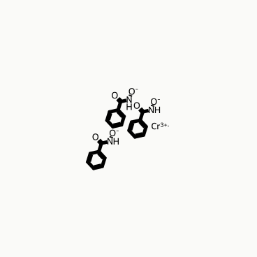 O=C(N[O-])c1ccccc1.O=C(N[O-])c1ccccc1.O=C(N[O-])c1ccccc1.[Cr+3]